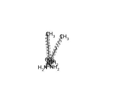 CCCCCCCCC=CCCCCCCCC(=O)C(N)(CN(CCN)CCN)C(=O)CCCCCCCC=CCCCCCCCC